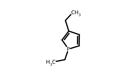 CCc1[c]p(CC)cc1